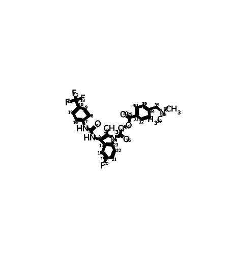 Cc1c(NC(=O)Nc2ccc(C(F)(F)F)cc2)c2cc(F)ccc2n1C(=O)OOC(=O)c1ccc(CN(C)C)cc1